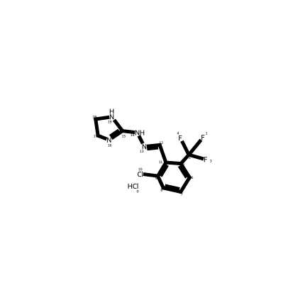 Cl.FC(F)(F)c1cccc(Cl)c1C=NNC1=NCCN1